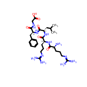 CC(C)C[C@H](NC(=O)[C@H](CCCN=C(N)N)NC(=O)[C@@H](N)CCCN=C(N)N)C(=O)N[C@@H](Cc1ccccc1)C(=O)NCC(=O)O